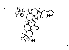 CC(=O)[C@]1(O)CC[C@@]2(C)C(CC[C@]3(C)C2C(=O)C=C2[C@H]4C[C@@](C)(C(=O)CC5CCCN5C)CC[C@]4(C)CC[C@]23C)C1(C)C.COS(=O)(=O)O